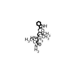 CC(C)NC(/C=C/[C@@H](Cc1c[nH]c2ccccc12)C(=O)C(C)(C)C)CCC(N)=O